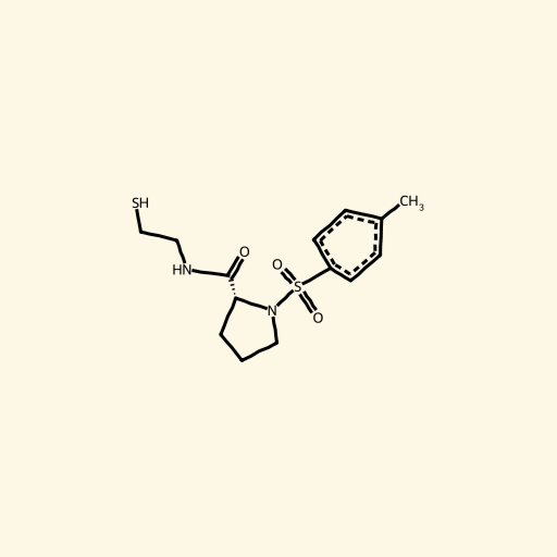 Cc1ccc(S(=O)(=O)N2CCC[C@@H]2C(=O)NCCS)cc1